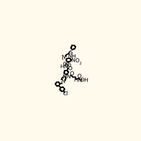 CN(C)CCC(CSc1ccccc1)Nc1ccc(S(=O)(=O)NC(=O)c2ccc(N3CCN(Cc4ccccc4-c4ccc(Cl)cc4)CC3)c(NC(=O)CCCC(=O)NO)c2)cc1[N+](=O)[O-]